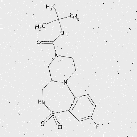 CC(C)(C)OC(=O)N1CCN2c3ccc(F)cc3S(=O)(=O)NCC2C1